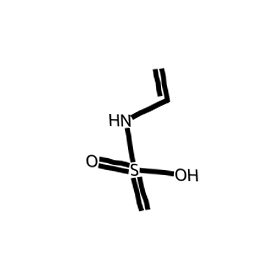 C=CNS(=C)(=O)O